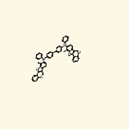 Cc1c(N(c2ccccc2)c2ccc(-c3ccc(N(c4ccccc4)c4ccc5c(oc6c7ccccc7ncc56)c4C)cc3)cc2)ccc2c1oc1c3ccccc3ncc21